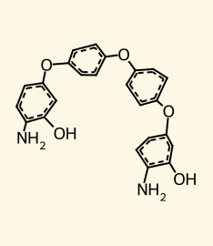 Nc1ccc(Oc2ccc(Oc3ccc(Oc4ccc(N)c(O)c4)cc3)cc2)cc1O